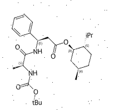 CC(C)[C@@H]1CC[C@@H](C)C[C@H]1OC(=O)C[C@@H](NC(=O)[C@H](C)NC(=O)OC(C)(C)C)c1ccccc1